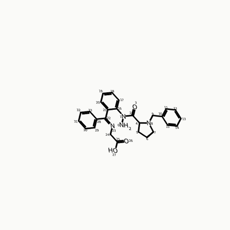 NN(C(=O)C1CCCN1Cc1ccccc1)c1ccccc1/C(=N/CC(=O)O)c1ccccc1